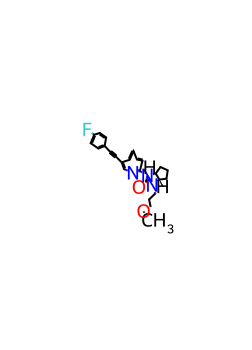 COCCCN1C(=O)N(C2=N/C=C(C#Cc3ccc(F)cc3)\C=C\C=C\2)[C@@H]2CCC[C@@H]21